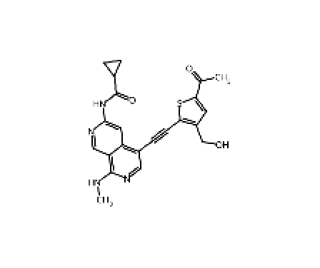 CNc1ncc(C#Cc2sc(C(C)=O)cc2CO)c2cc(NC(=O)C3CC3)ncc12